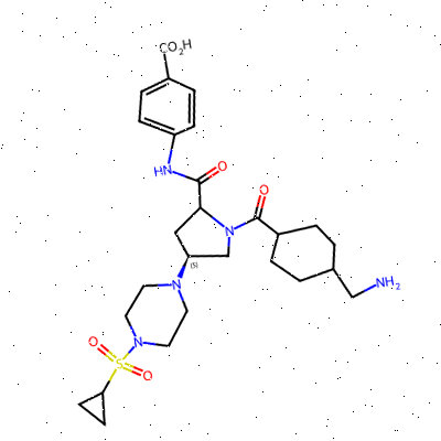 NCC1CCC(C(=O)N2C[C@@H](N3CCN(S(=O)(=O)C4CC4)CC3)CC2C(=O)Nc2ccc(C(=O)O)cc2)CC1